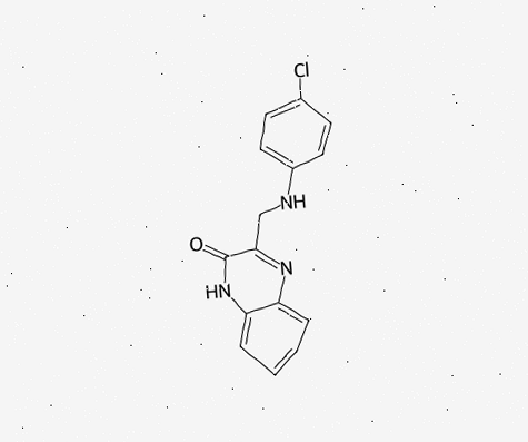 O=c1[nH]c2ccccc2nc1CNc1ccc(Cl)cc1